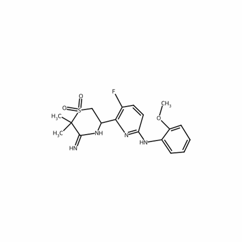 COc1ccccc1Nc1ccc(F)c(C2CS(=O)(=O)C(C)(C)C(=N)N2)n1